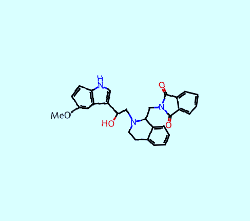 COc1ccc2[nH]cc(C(O)CN3CCc4ccccc4C3CN3C(=O)c4ccccc4C3=O)c2c1